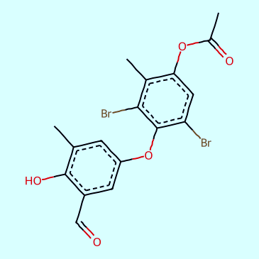 CC(=O)Oc1cc(Br)c(Oc2cc(C)c(O)c(C=O)c2)c(Br)c1C